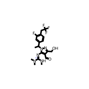 CN/C(=N\c1c(C=O)c(CO)nn1C(C)c1ccc(CC(F)(F)F)c(F)c1)N(C)C